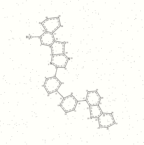 Cc1cc2c3nc(-c4cccc(-c5cccc(-c6cccc7c6sc6ccccc67)c5)c4)cnc3oc2c2ccccc12